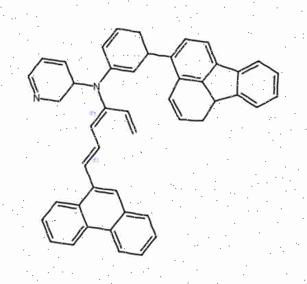 C=C/C(=C\C=C\c1cc2ccccc2c2ccccc12)N(C1=CC(c2ccc3c4c2C=CCC4c2ccccc2-3)CC=C1)C1C=CC=NC1